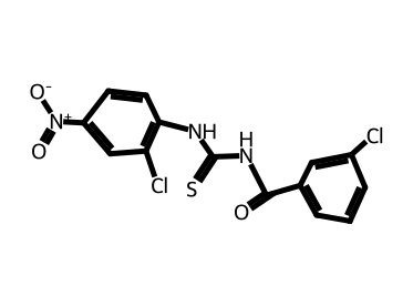 O=C(NC(=S)Nc1ccc([N+](=O)[O-])cc1Cl)c1cccc(Cl)c1